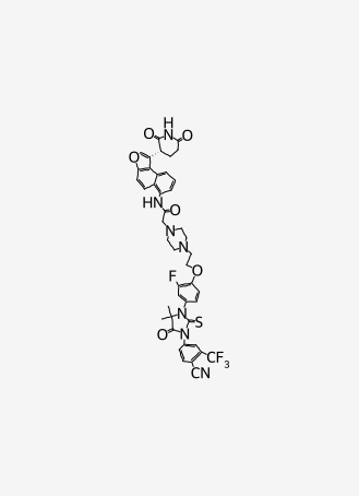 CC1(C)C(=O)N(c2ccc(C#N)c(C(F)(F)F)c2)C(=S)N1c1ccc(OCCN2CCN(CC(=O)Nc3cccc4c3ccc3occ([C@H]5CCC(=O)NC5=O)c34)CC2)c(F)c1